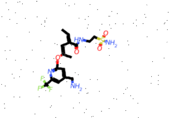 C/C=C(\C=C(/C)Oc1cc(CN)cc(C(F)(F)F)n1)C(=O)NCCS(N)(=O)=O